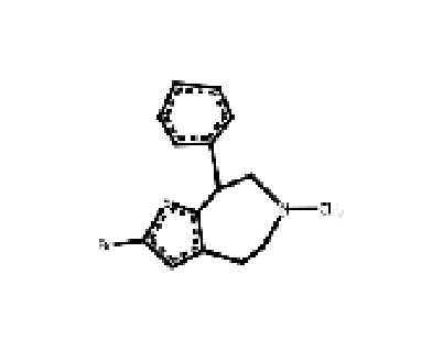 CN1CCc2cc(Br)sc2C(c2ccccc2)C1